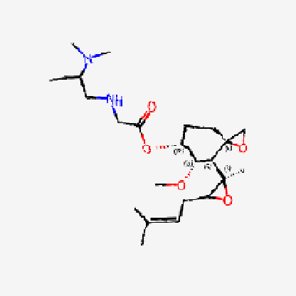 CO[C@@H]1[C@H](OC(=O)CNCC(C)N(C)C)CC[C@]2(CO2)[C@H]1[C@@]1(C)OC1CC=C(C)C